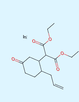 C=CCC1CCC(=O)CC1C(C(=O)OCC)C(=O)OCC.[In]